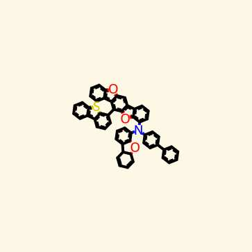 C1=CC2Oc3c(cccc3N(c3ccc(-c4ccccc4)cc3)c3cccc4c3oc3c(-c5cccc6c5sc5ccccc56)c5c(cc34)oc3ccccc35)C2C=C1